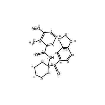 COc1cccc(C(=O)NC2(C(=O)c3ccc4c(c3)OCO4)CCCCC2)c1C